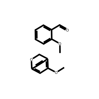 COc1cc2ccc1CO2.COc1ccccc1C=O